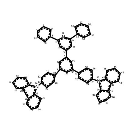 c1ccc(-c2cc(-c3cc(-c4ccc(-n5c6ccccc6c6ccccc65)cc4)cc(-c4ccc(-n5c6ccccc6c6ccccc65)cc4)c3)cc(-c3ccccc3)n2)cc1